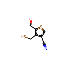 N#Cc1csc(C=O)c1CS